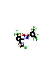 C[C@H]1[C@@H](c2cc(C(F)(F)F)cc(C(F)(F)F)c2)OC(=O)N1Cc1cc(C(F)(F)F)ccc1-c1nc(Br)cs1